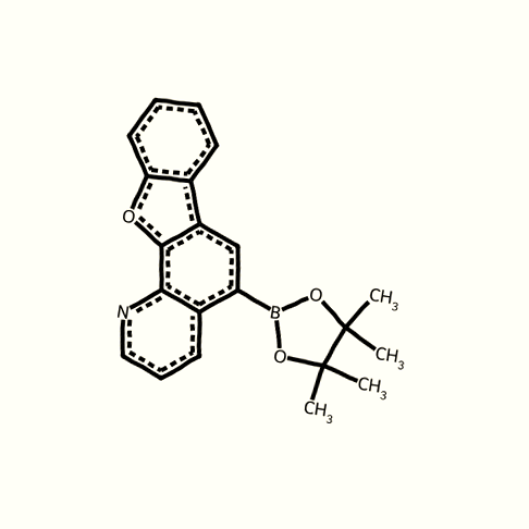 CC1(C)OB(c2cc3c4ccccc4oc3c3ncccc23)OC1(C)C